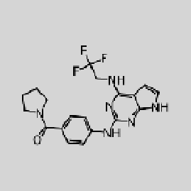 O=C(c1ccc(Nc2nc(NCC(F)(F)F)c3cc[nH]c3n2)cc1)N1CCCC1